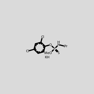 COP(=S)(NC(C)C)Oc1ccc(Cl)cc1Cl.[KH]